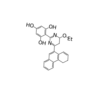 CCOC1CC(c2cc3ccccc3c3c2C=CCC3)=NC(c2c(O)cc(O)cc2O)=N1